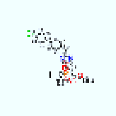 CCOP(C)(=O)C(Cc1nc(Cc2ccc(-c3ccc(Cl)cc3)cc2)no1)C(=O)OC(C)(C)C